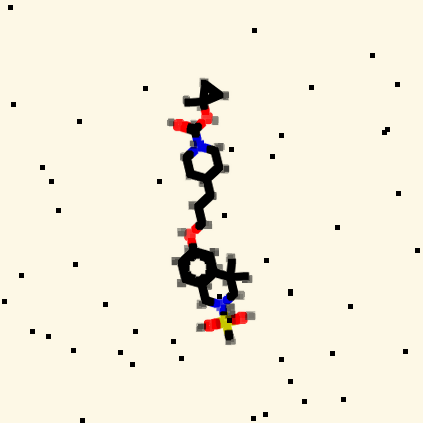 CC1(OC(=O)N2CCC(CCCOc3ccc4c(c3)C(C)(C)CN(S(C)(=O)=O)C4)CC2)CC1